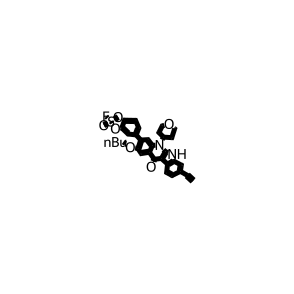 C#Cc1ccc2c(c1)[nH]c1c2c(=O)c2cc(OCCCC)c(-c3cccc(OS(=O)(=O)F)c3)cc2n1C1CCOCC1